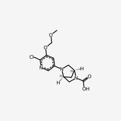 COCOc1cc(N2C[C@@H]3C[C@H]2CN3C(=O)O)cnc1Cl